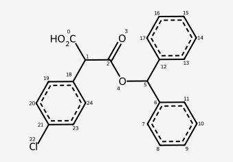 O=C(O)C(C(=O)OC(c1ccccc1)c1ccccc1)c1ccc(Cl)cc1